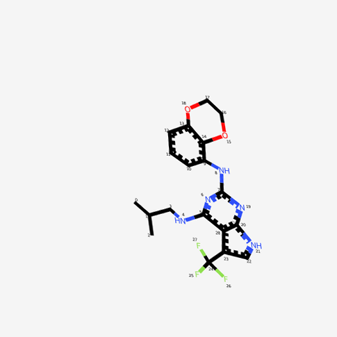 CC(C)CNc1nc(Nc2cc[c]c3c2OCCO3)nc2[nH]cc(C(F)(F)F)c12